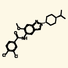 COc1cc2nn([C@H]3CC[C@H](C(C)C)CC3)cc2cc1NC(=O)c1ccc(Cl)c(Cl)c1